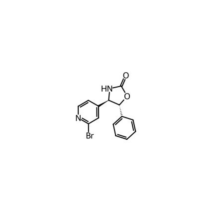 O=C1N[C@H](c2ccnc(Br)c2)[C@@H](c2ccccc2)O1